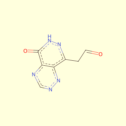 O=CCc1n[nH]c(=O)c2ncnnc12